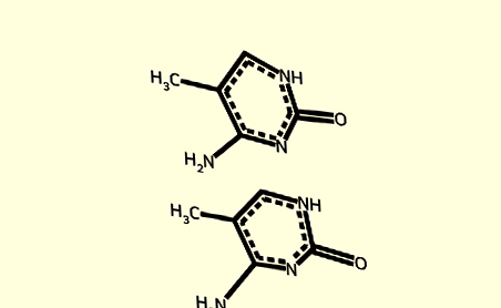 Cc1c[nH]c(=O)nc1N.Cc1c[nH]c(=O)nc1N